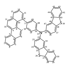 c1ccc2c(c1)ccc1c2ccc2cccc(-c3ccc(N(c4ccc5sc6ccccc6c5c4)c4ccc5sc6ccccc6c5c4)cc3)c21